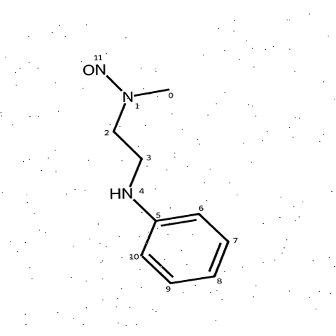 CN(CCNc1ccccc1)N=O